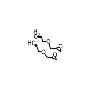 C#CCOCC1CO1.C=CCOCC1CO1